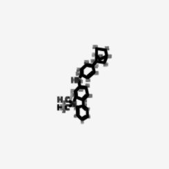 C[Si]1(C)c2ccccc2-c2ccc(Nc3ccc(C4CC5CCC4C5)cc3)cc21